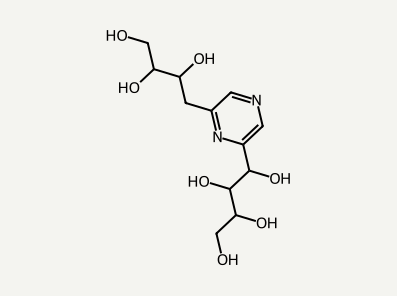 OCC(O)C(O)Cc1cncc(C(O)C(O)C(O)CO)n1